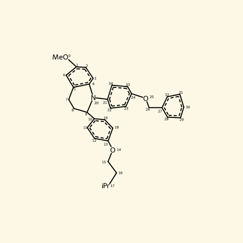 COc1ccc2c(c1)CCC(c1ccc(OCCC(C)C)cc1)N2c1ccc(OCc2ccccc2)cc1